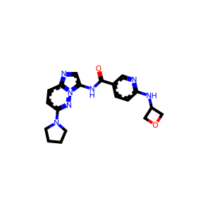 O=C(Nc1cnc2ccc(N3CCCC3)nn12)c1ccc(NC2COC2)nc1